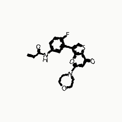 C=CC(=O)Nc1ccc(F)c(-c2csc3c(=O)cc(N4CCOCC4)oc23)c1